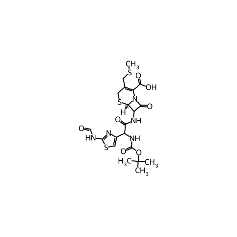 CSCC1=C(C(=O)O)N2C(=O)C(NC(=O)C(NC(=O)OC(C)(C)C)c3csc(NC=O)n3)[C@@H]2SC1